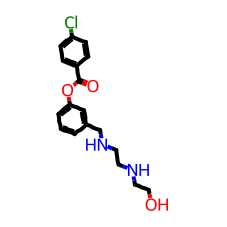 O=C(Oc1cccc(CNCCNCCO)c1)c1ccc(Cl)cc1